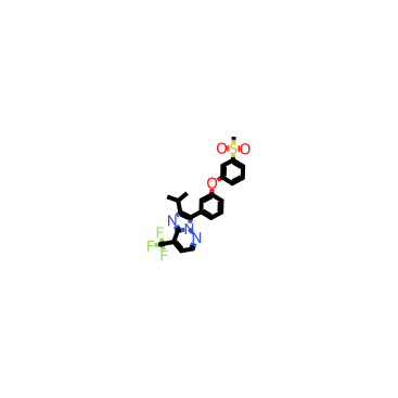 CC(C)c1nc2c(C(F)(F)F)ccnn2c1-c1cccc(Oc2cccc(S(C)(=O)=O)c2)c1